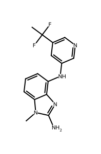 Cn1c(N)nc2c(Nc3cncc(C(C)(F)F)c3)cccc21